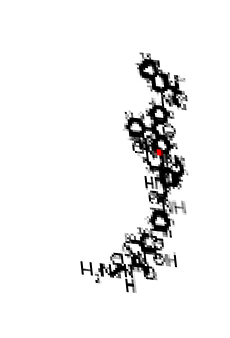 CC1N(c2ccc3c(-c4ccccc4S(=O)(=O)N4CCC(C(=O)NCC(=O)Nc5ccc(SCC6=C(C(=O)O)N7C(=O)C(NC(=O)CN)C7SC6)cc5)CC4)c4cc/c(=[N+]5/CCc6ccccc65)cc-4oc3c2)c2cc3ccccc3cc2C1(C)C